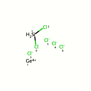 Cl[SiH2]Cl.[Cl-].[Cl-].[Cl-].[Cl-].[Ge+4]